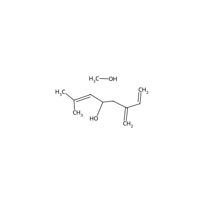 C=CC(=C)CC(O)C=C(C)C.CO